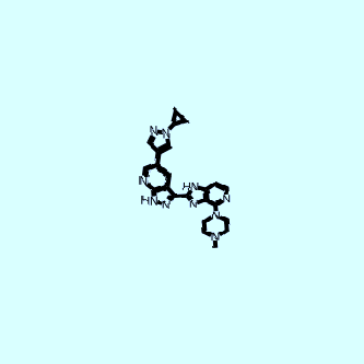 CN1CCN(c2nccc3[nH]c(-c4n[nH]c5ncc(-c6cnn(C7CC7)c6)cc45)nc23)CC1